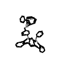 N=C(c1ccccc1)C12C=CC=CC1[N@]2Cc1ccc(-n2c3ccccc3c3cc4c5ccccc5n(-c5ccccc5)c4cc32)cc1